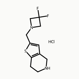 Cl.FC1(F)CN(Cc2cc3c(s2)CCNC3)C1